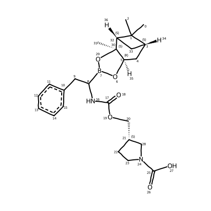 CC1(C)[C@@H]2C[C@H]3OB(C(Cc4ccccc4)NC(=O)OC[C@H]4CCN(C(=O)O)C4)O[C@@]3(C)[C@H]1C2